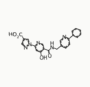 O=C(O)c1cnn(-c2cc(O)c(C(=O)NCc3ccc(-c4ccccc4)nc3)cn2)c1